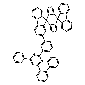 c1ccc(-c2cc(-c3ccccc3-c3ccccc3)nc(-c3cccc(-c4ccc5c(c4)C4(c6ccccc6-5)c5ccccc5C5(c6ccccc6-c6ccccc65)c5ccccc54)c3)n2)cc1